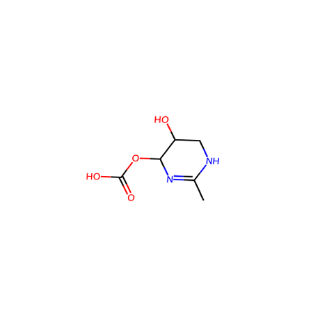 CC1=NC(OC(=O)O)C(O)CN1